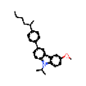 CCCCC(C)c1ccc(-c2ccc3c(c2)c2cc(OC)ccc2n3C(C)C)cc1